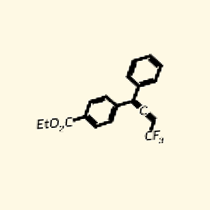 CCOC(=O)c1ccc(C(=C=CC(F)(F)F)c2ccccc2)cc1